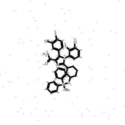 CC(C)(C)[Si](OC1CCCC(c2nc(C(N)=O)c(-c3ccc(F)c(Cl)c3)n2-c2cccc(Cl)c2F)C1)(c1ccccc1)c1ccccc1